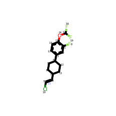 Fc1cc(C2CCC(/C=C/Cl)CC2)ccc1OC(F)F